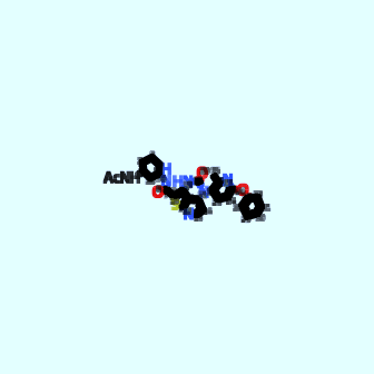 CC(=O)NC1CCCC(NC(=O)c2sc3nccc4c3c2NC(=O)N4c2ccc(Oc3ccccc3)nc2C)C1